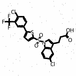 O=C(O)CCc1cn(S(=O)(=O)c2ccc(-c3ccc(Cl)c(C(F)(F)F)c3)s2)c2ccc(Cl)cc12